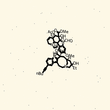 CCCCC#Cc1ccc2[nH]c3c(c2c1)CCN1C[C@H](C[C@@](O)(CC)C1)C[C@]3(C(=O)OC)c1cc2c(cc1OC)N(C=O)[C@H]1[C@@](O)(C(=O)OC)[C@H](OC(C)=O)[C@]3(CC)C=CCN4CC[C@]21[C@@H]43